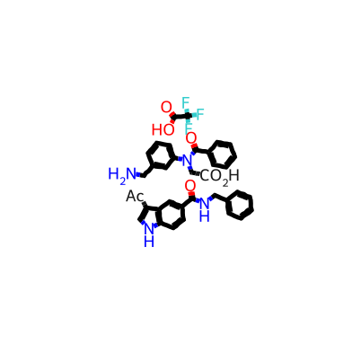 CC(=O)c1c[nH]c2ccc(C(=O)NCc3ccccc3)cc12.NCc1cccc(N(CC(=O)O)C(=O)c2ccccc2)c1.O=C(O)C(F)(F)F